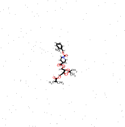 C=C(C)C(=O)OCC1OC(C)(C)OC1COC(=O)C1CCN(C(=O)OCc2ccccc2[N+](=O)[O-])CC1